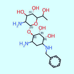 CC(O)C1O[C@H](O[C@@H]2C(N)CC(NCc3ccccc3)[C@@H](O)[C@H]2O)C(N)C(O)[C@@H]1O